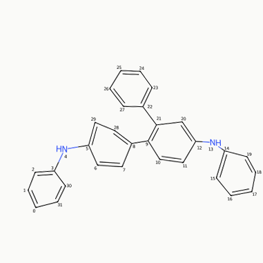 c1ccc(Nc2ccc(-c3ccc(Nc4ccccc4)cc3-c3ccccc3)cc2)cc1